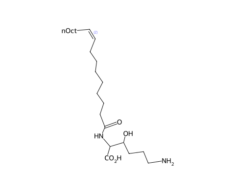 CCCCCCCC/C=C\CCCCCCCC(=O)NC(C(=O)O)C(O)CCCN